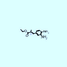 CCOC(=O)/C(C)=C/c1ccc(N)c(N)c1